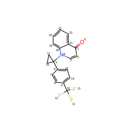 O=c1ccn(C2(c3ccc(C(F)(F)F)cc3)CC2)c2ccccc12